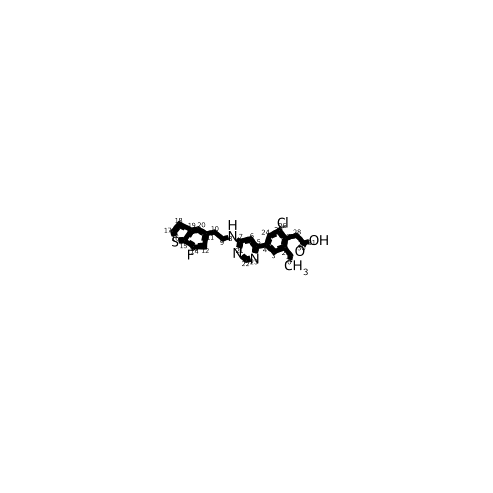 CCc1cc(-c2cc(NCCc3cc(F)c4sccc4c3)ncn2)cc(Cl)c1CC(=O)O